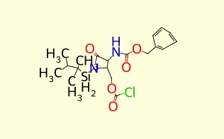 CC(C)C(C)(C)[SiH2]N1C(=O)C(NC(=O)OCc2ccccc2)C1COC(=O)Cl